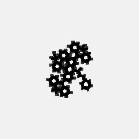 C/C(=C\C=C1\C=CC=CC1)c1c2cc(N3c4ccccc4C(C)(C)c4ccccc43)ccc2c(-c2cccc3c2-c2ccccc2C3(C)C)c2cc(N3c4ccccc4C(C)(C)c4ccccc43)ccc12